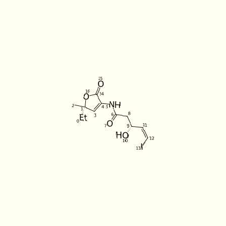 CC[C@@]1(C)C=C(NC(=O)C[C@@H](O)/C=C\I)C(=O)O1